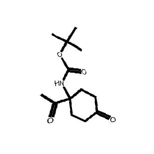 CC(=O)C1(NC(=O)OC(C)(C)C)CCC(=O)CC1